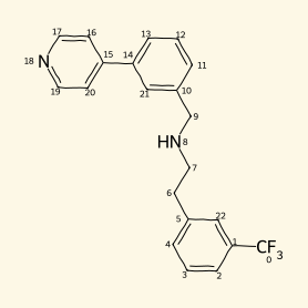 FC(F)(F)c1cccc(CCNCc2cccc(-c3ccncc3)c2)c1